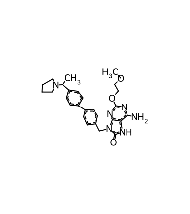 COCCOc1nc(N)c2[nH]c(=O)n(Cc3ccc(-c4ccc(C(C)N5CCCC5)cc4)cc3)c2n1